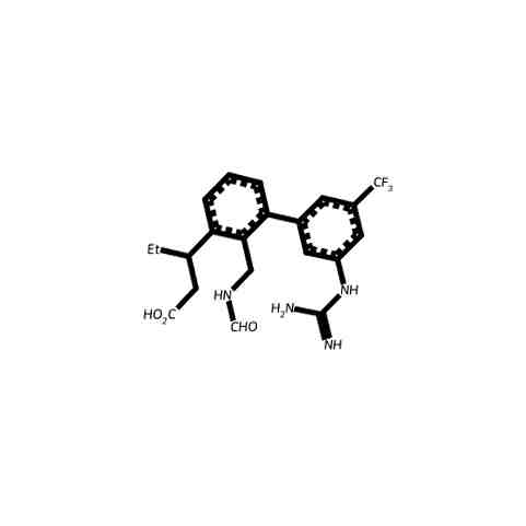 CCC(CC(=O)O)c1cccc(-c2cc(NC(=N)N)cc(C(F)(F)F)c2)c1CNC=O